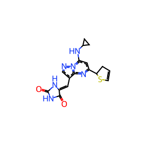 O=C1NC(=O)/C(=C/c2cnn3c(NC4CC4)cc(C4CC=CS4)nc23)N1